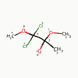 COC(C)([O])C(Cl)(Cl)OC